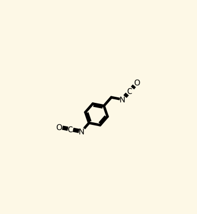 O=C=NCc1ccc(N=C=O)cc1